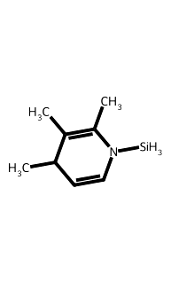 CC1=C(C)N([SiH3])C=CC1C